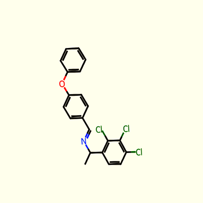 CC(N=Cc1ccc(Oc2ccccc2)cc1)c1ccc(Cl)c(Cl)c1Cl